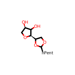 CCCCCC1OCC([C@H]2OC[C@@H](O)C2O)O1